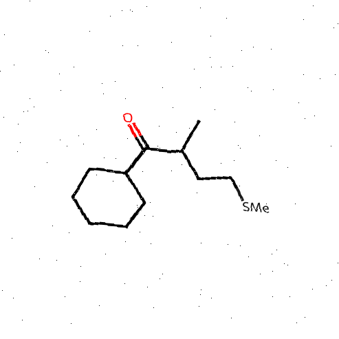 CSCCC(C)C(=O)C1CCCCC1